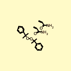 C=CC(N)=O.C=CC(N)=O.CC(C)(OOC(C)(C)c1ccccc1)c1ccccc1